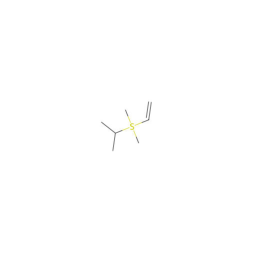 C=CS(C)(C)C(C)C